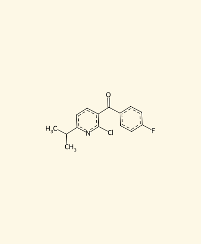 CC(C)c1ccc(C(=O)c2ccc(F)cc2)c(Cl)n1